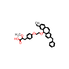 CCc1ccc2c(c1)C(OCCOc1ccc(CC(OC)C(=O)O)cc1)c1ccc(Cc3ccccc3)cc1C=C2